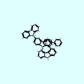 c1ccc(-c2ccccc2-c2cccc3sc4cccc(-n5c6ccccc6c6cc(-n7c8ccccc8c8ccccc87)ccc65)c4c23)cc1